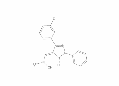 CN(O)C=C1C(=O)N(c2ccccc2)N=C1c1cccc(Cl)c1